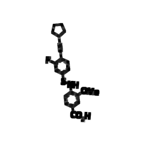 COc1cc(C(=O)O)ccc1NSc1ccc(C#CC2CCCC2)c(F)c1